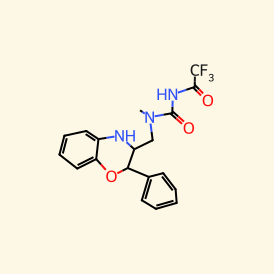 CN(CC1Nc2ccccc2OC1c1ccccc1)C(=O)NC(=O)C(F)(F)F